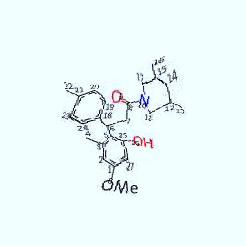 COc1cc(C)c(C(CC(=O)N2CC(C)CC(C)C2)c2ccc(C)cc2)c(O)c1